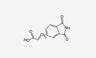 C=CC(=O)O.O=C1NC(=O)c2ccccc21